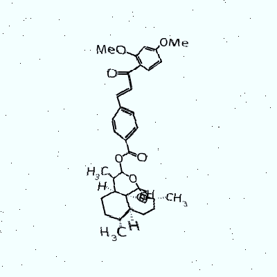 COc1ccc(C(=O)/C=C/c2ccc(C(=O)OC3O[C@@H]4O[C@]5(C)CC[C@H]6[C@H](C)CC[C@@H]([C@H]3C)[C@@]46OO5)cc2)c(OC)c1